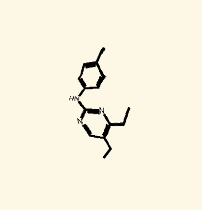 CCc1cnc(Nc2ccc(C)cc2)nc1CC